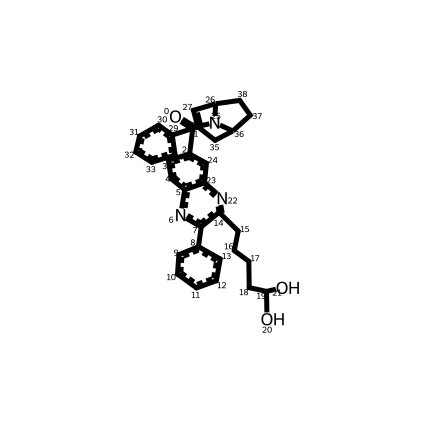 O=C(c1ccc2nc(-c3ccccc3)c(CCCCC(O)O)nc2c1)N1C2C=C(c3ccccc3)CC1CC2